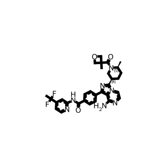 C[C@H]1CC[C@@H](c2nc(-c3ccc(C(=O)Nc4cc(C(C)(F)F)ccn4)cc3)c3c(N)nccn23)CN1C(=O)C1(C)COC1